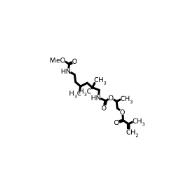 C=C(C)C(=O)OCC(C)OC(=O)NCC(C)(C)CC(C)CCNC(=O)OC